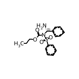 CCCOC(=O)N([C@H](N)c1ccccc1)S(=O)(=O)c1ccccc1